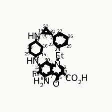 CCn1cc(C(=O)O)c(=O)c2c(N)c(F)c(NC3CCC(N[C@@H]4C[C@H]4c4ccccc4)CC3)cc21